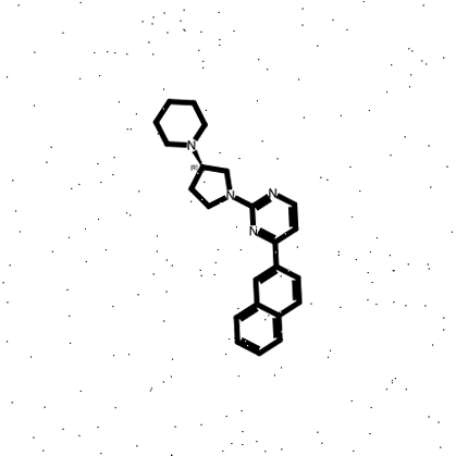 c1ccc2cc(-c3ccnc(N4CC[C@@H](N5CCCCC5)C4)n3)ccc2c1